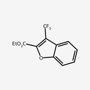 CCOC(=O)c1oc2ccccc2c1C(F)(F)F